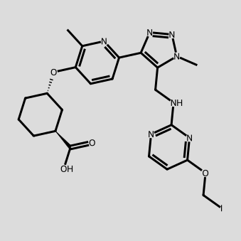 Cc1nc(-c2nnn(C)c2CNc2nccc(OCI)n2)ccc1O[C@H]1CCC[C@H](C(=O)O)C1